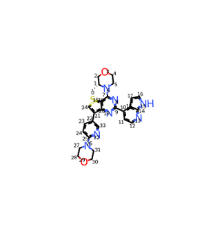 C[C@@H]1COCCN1c1nc(-c2ccnc3[nH]ccc23)nc2c(-c3ccc(N4CCOCC4)nc3)csc12